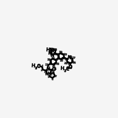 CCCC1=NC2(CCCC2)C(=O)N1Cc1ccc(-c2cc(-c3cc(OC)ccn3)ccc2-c2nn[nH]n2)cc1